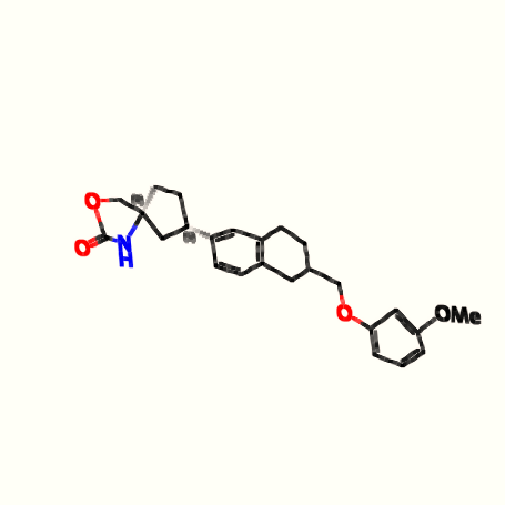 COc1cccc(OCC2CCc3cc([C@H]4CC[C@]5(COC(=O)N5)C4)ccc3C2)c1